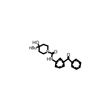 CCCCC1(O)CCN(C(=O)Nc2cccc(C(=O)c3ccccc3)c2)CC1